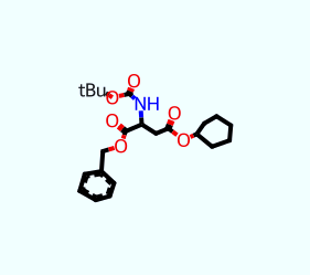 CC(C)(C)OC(=O)NC(CC(=O)OC1CCCCC1)C(=O)OCc1ccccc1